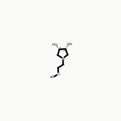 CC(C)OCCN1C[C@@H](O)[C@@H](O)C1